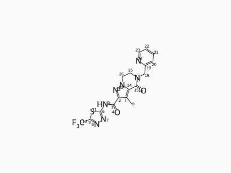 Cc1c(C(=O)Nc2nnc(C(F)(F)F)s2)nn2c1C(=O)N(Cc1ccccn1)CC2